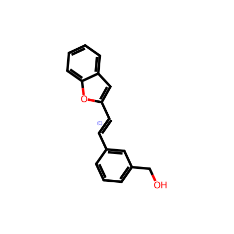 OCc1cccc(/C=C/c2cc3ccccc3o2)c1